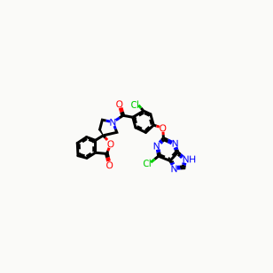 O=C1O[C@]2(CCN(C(=O)c3ccc(Oc4nc(Cl)c5nc[nH]c5n4)cc3Cl)C2)c2ccccc21